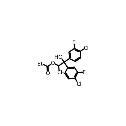 CCC(=O)OC(C)C(O)(c1ccc(Cl)c(F)c1)c1ccc(Cl)c(F)c1